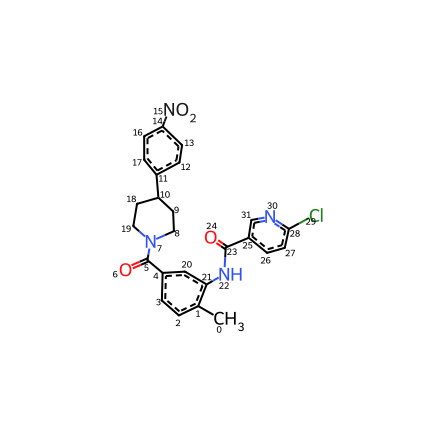 Cc1ccc(C(=O)N2CCC(c3ccc([N+](=O)[O-])cc3)CC2)cc1NC(=O)c1ccc(Cl)nc1